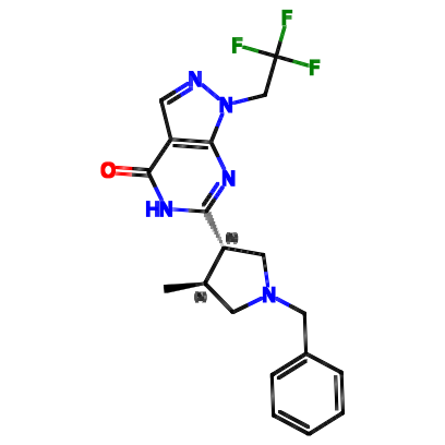 C[C@@H]1CN(Cc2ccccc2)C[C@H]1c1nc2c(cnn2CC(F)(F)F)c(=O)[nH]1